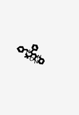 CC1(C)CN(Cc2ccccc2)C(c2ccccc2)C(=Cc2cnc3ccccc3n2)C1=O